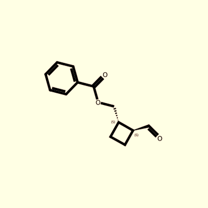 O=C[C@H]1CC[C@@H]1COC(=O)c1ccccc1